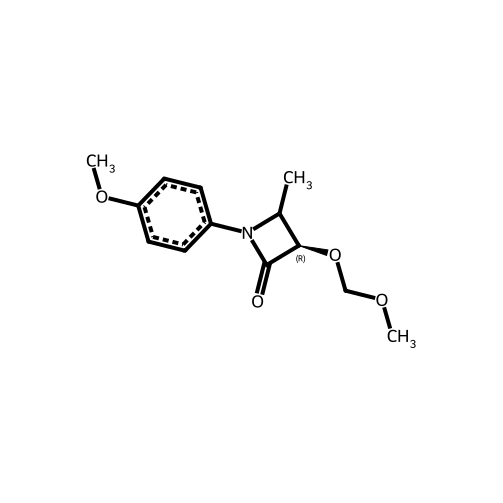 COCO[C@H]1C(=O)N(c2ccc(OC)cc2)C1C